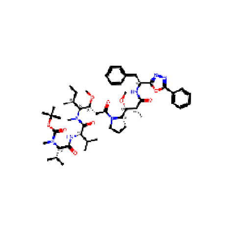 CC[C@H](C)[C@@H]([C@@H](CC(=O)N1CCC[C@H]1[C@H](OC)[C@@H](C)C(=O)N[C@@H](Cc1ccccc1)c1nnc(-c2ccccc2)o1)OC)N(C)C(=O)[C@@H](NC(=O)[C@H](C(C)C)N(C)C(=O)OC(C)(C)C)C(C)C